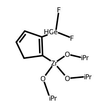 CC(C)[O][Zr]([O]C(C)C)([O]C(C)C)[C]1=[C]([GeH]([F])[F])C=CC1